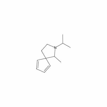 CC(C)N1CCC2(C=CC=C2)C1C